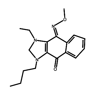 CCCCN1CN(CC)C2=C1C(=O)c1ccccc1C2=NOC